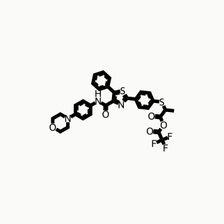 CC(Sc1ccc(-c2nc(C(=O)Nc3ccc(N4CCOCC4)cc3)c(-c3ccccc3)s2)cc1)C(=O)OC(=O)C(F)(F)F